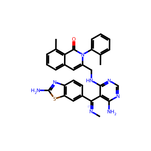 C/N=C(/c1ccc2nc(N)sc2c1)c1c(N)ncnc1NCc1cc2cccc(C)c2c(=O)n1-c1ccccc1C